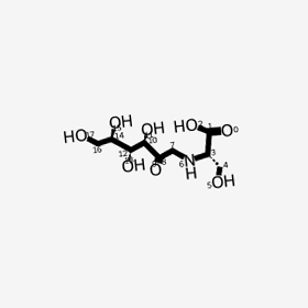 O=C(O)[C@H](CO)NCC(=O)[C@@H](O)[C@H](O)[C@H](O)CO